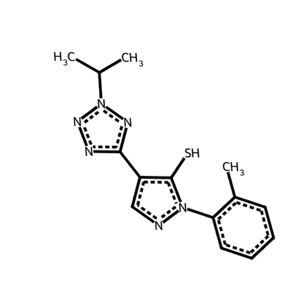 Cc1ccccc1-n1ncc(-c2nnn(C(C)C)n2)c1S